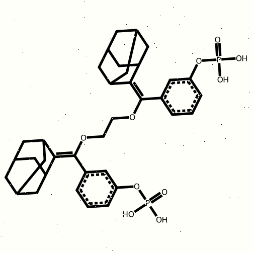 O=P(O)(O)Oc1cccc(C(OCCOC(=C2C3CC4CC(C3)CC2C4)c2cccc(OP(=O)(O)O)c2)=C2C3CC4CC(C3)CC2C4)c1